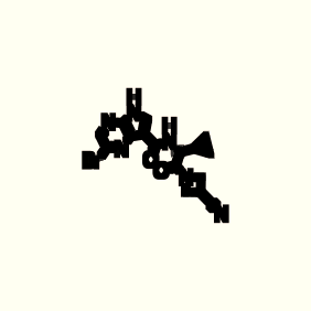 N#CC1CN(C(=O)[C@H](NC(=O)c2c[nH]c3ncc(Br)nc23)C2CC2)C1